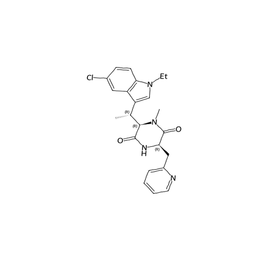 CCn1cc([C@@H](C)[C@@H]2C(=O)N[C@H](Cc3ccccn3)C(=O)N2C)c2cc(Cl)ccc21